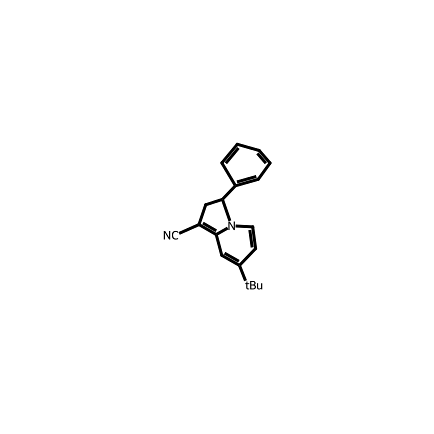 CC(C)(C)C1=CC2=C(C#N)CC(c3ccccc3)N2C=C1